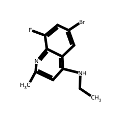 CCNc1cc(C)nc2c(F)cc(Br)cc12